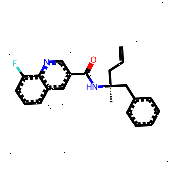 C=CC[C@@](C)(Cc1ccccc1)NC(=O)c1cnc2c(F)cccc2c1